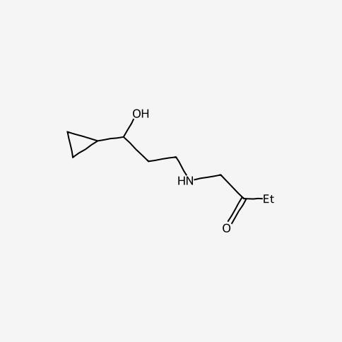 CCC(=O)CNCCC(O)C1CC1